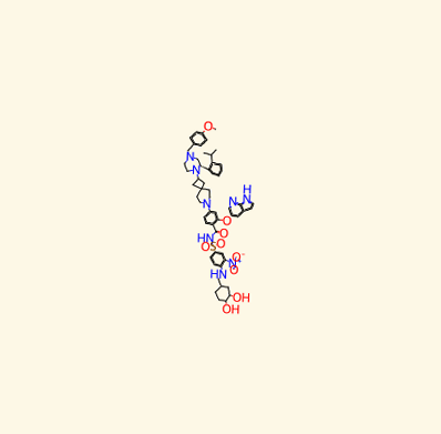 COc1ccc(CN2CCN(C3CC4(CCN(c5ccc(C(=O)NS(=O)(=O)c6ccc(NCC7CCC(O)C(O)C7)c([N+](=O)[O-])c6)c(Oc6cnc7[nH]ccc7c6)c5)CC4)C3)[C@H](c3ccccc3C(C)C)C2)cc1